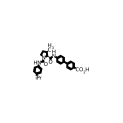 CC(C)c1ccc(NC(=O)N2CC[C@@H](C)[C@H]2C(=O)Nc2ccc(-c3ccc(C(=O)O)cc3)cc2)cc1